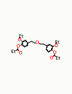 CCOc1cc(CCOCCc2ccc(OC(=O)CC)c(OCC)c2)ccc1OC(=O)CC